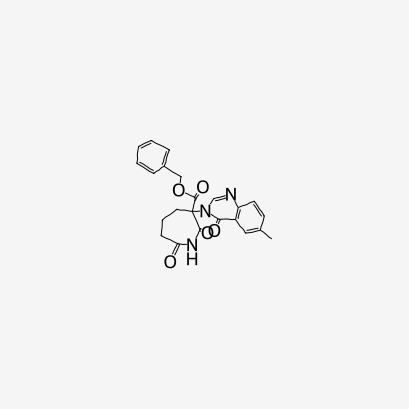 Cc1ccc2ncn(C3(C(=O)OCc4ccccc4)CCCC(=O)NC3=O)c(=O)c2c1